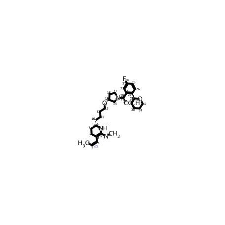 C=NC1=C(/C=C\C)CC[C@H](CCCCO[C@@H]2CCN([C@H](C(=O)O)c3cc(F)ccc3[C@@H]3CCCCO3)C2)N1